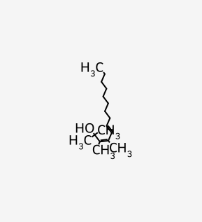 CCCCCCCCC=CC(C)=C(C)C(C)(C)O